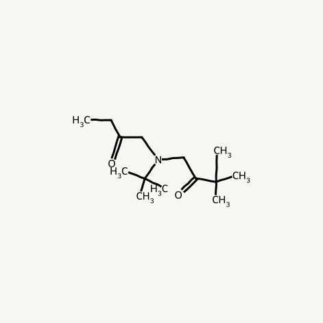 CCC(=O)CN(CC(=O)C(C)(C)C)C(C)(C)C